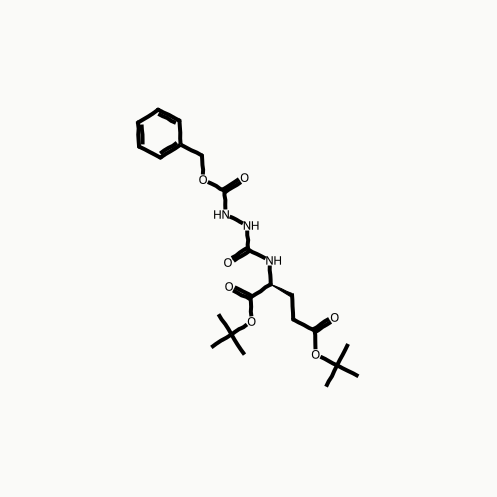 CC(C)(C)OC(=O)CC[C@H](NC(=O)NNC(=O)OCc1ccccc1)C(=O)OC(C)(C)C